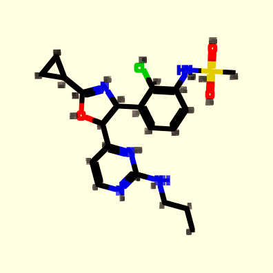 CCCNc1nccc(C2OC(C3CC3)=NC2c2cccc(NS(C)(=O)=O)c2Cl)n1